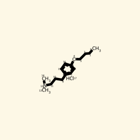 CCCCOc1ccc(CCCN(C)C)cc1.Cl